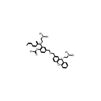 C=C(/C=C\C=C/C)[C@@H](CCN(C(C)C)C(C)C)c1cc(COCc2ccc(O)c([C@H](CCN(C(C)C)C(C)C)c3ccccc3)c2)ccc1OC(=O)C(C)C